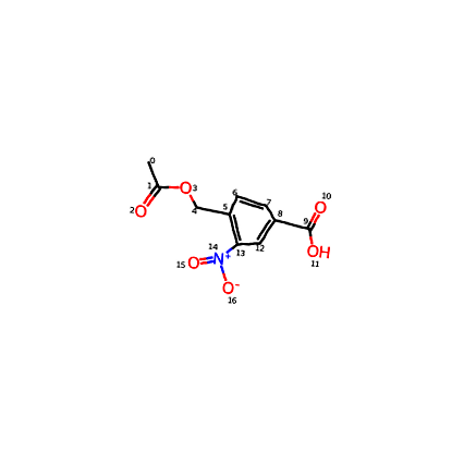 CC(=O)OCc1ccc(C(=O)O)cc1[N+](=O)[O-]